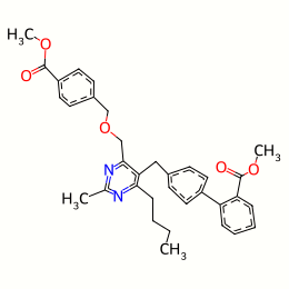 CCCCc1nc(C)nc(COCc2ccc(C(=O)OC)cc2)c1Cc1ccc(-c2ccccc2C(=O)OC)cc1